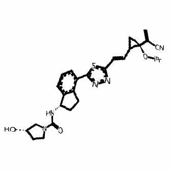 C=C(C#N)[C@@]1(OC(C)C)CC1/C=C/c1nnc(-c2cccc3c2CC[C@@H]3NC(=O)N2CC[C@H](O)C2)s1